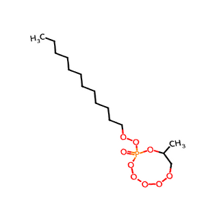 CCCCCCCCCCCCOOP1(=O)OOOOOCC(C)O1